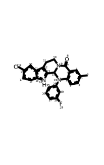 Cc1ccc2c(c1)C(=O)N1CCc3c([nH]c4ccc(Cl)cc34)C1N2c1cccc(F)c1